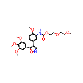 COCCOCCOC(=O)Nc1cc(-c2cnoc2-c2cc(OC)c(OC)c(OC)c2)ccc1OC